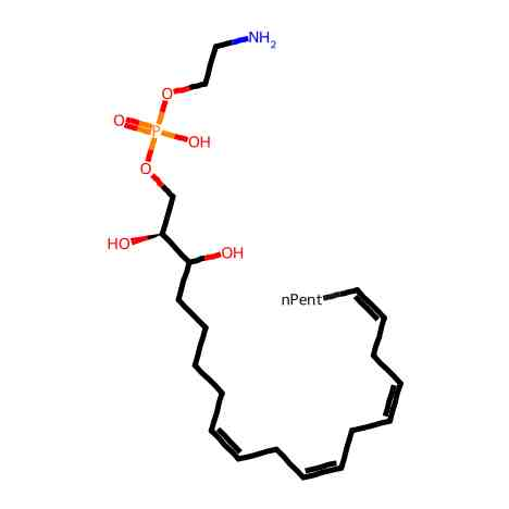 CCCCC/C=C\C/C=C\C/C=C\C/C=C\CCCCC(O)[C@@H](O)COP(=O)(O)OCCN